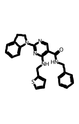 O=C(NCc1ccccc1)c1cnc(N2CCc3ccccc32)nc1NCc1cccs1